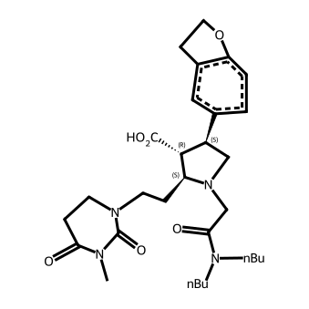 CCCCN(CCCC)C(=O)CN1C[C@H](c2ccc3c(c2)CCO3)[C@@H](C(=O)O)[C@@H]1CCN1CCC(=O)N(C)C1=O